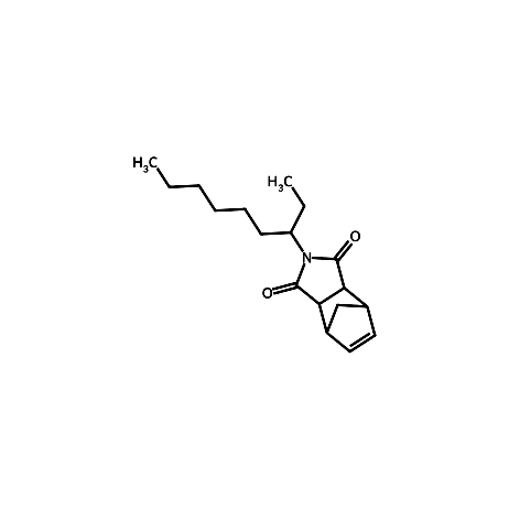 CCCCCCC(CC)N1C(=O)C2C3C=CC(C3)C2C1=O